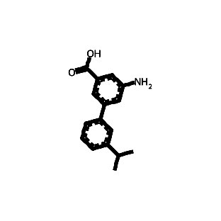 CC(C)c1cccc(-c2cc(N)cc(C(=O)O)c2)c1